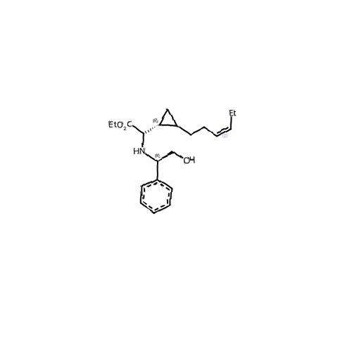 CC/C=C\CCC1C[C@H]1C(N[C@@H](CO)c1ccccc1)C(=O)OCC